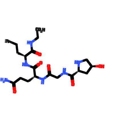 CC(C)CC[C@@H](NC(=O)[C@@H](CCC(N)=O)NC(=O)CNC(=O)[C@H]1C[C@H](O)CN1)C(=O)NCC(=O)O